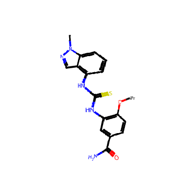 CC(C)Oc1ccc(C(N)=O)cc1NC(=S)Nc1cccc2c1cnn2C